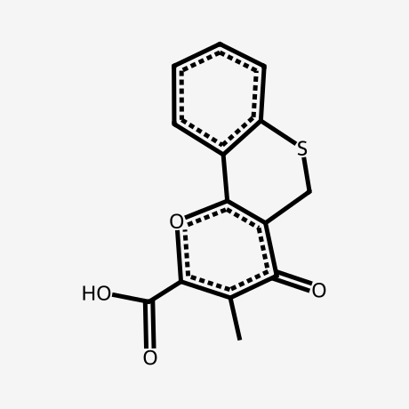 Cc1c(C(=O)O)oc2c(c1=O)CSc1ccccc1-2